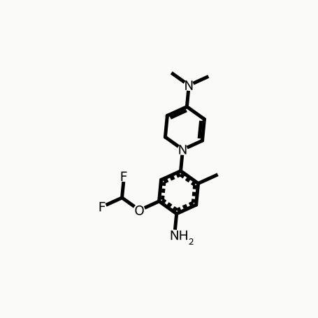 Cc1cc(N)c(OC(F)F)cc1N1C=CC(N(C)C)=CC1